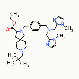 CCOC(=O)C1CC2(CCN(CC(C)(C)C)CC2)CN1Cc1ccc(CN(Cc2nccn2C)Cc2nccn2C)cc1